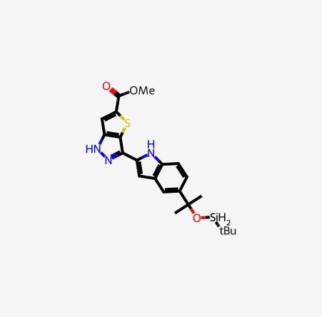 COC(=O)c1cc2[nH]nc(-c3cc4cc(C(C)(C)O[SiH2]C(C)(C)C)ccc4[nH]3)c2s1